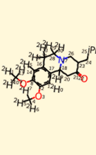 [2H]c1c(OC([2H])([2H])[2H])c(OC([2H])([2H])[2H])c([2H])c2c1C1([2H])CC(=O)C(CC(C)C)CN1C([2H])([2H])C2([2H])[2H]